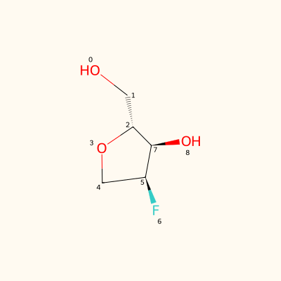 OC[C@H]1OC[C@H](F)[C@@H]1O